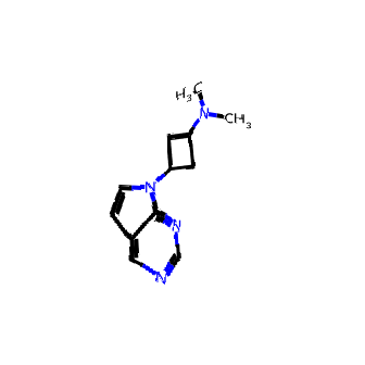 CN(C)C1CC(n2ccc3cncnc32)C1